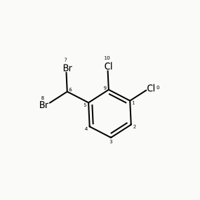 Clc1cccc(C(Br)Br)c1Cl